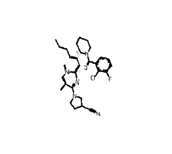 CCC/C=C(/C=C1/N=C(N2CCC(C#N)C2)C(C)=CN1C)[C@@H]1CCCCN1C(=O)c1cccc(F)c1Cl